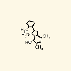 Cc1ccccc1C1Cc2c(C)cc(C)c(O)c2C1N